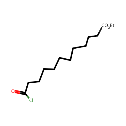 CCOC(=O)CCCCCCCCCCC(=O)Cl